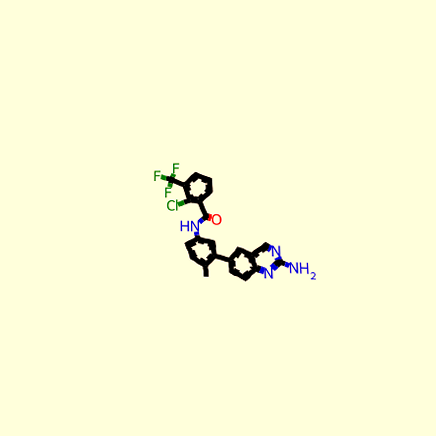 Cc1ccc(NC(=O)c2cccc(C(F)(F)F)c2Cl)cc1-c1ccc2nc(N)ncc2c1